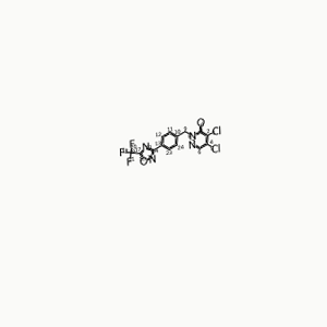 O=c1c(Cl)c(Cl)cnn1Cc1ccc(-c2noc(C(F)(F)F)n2)cc1